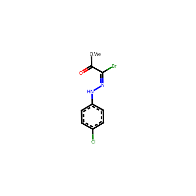 COC(=O)/C(Br)=N\Nc1ccc(Cl)cc1